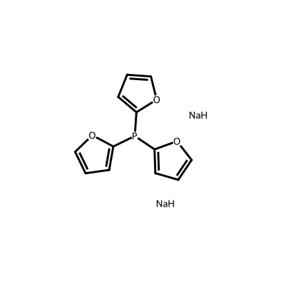 [NaH].[NaH].c1coc(P(c2ccco2)c2ccco2)c1